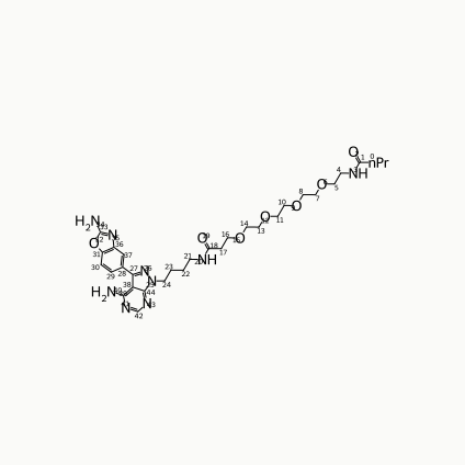 CCCC(=O)NCCOCCOCCOCCOCCC(=O)NCCCCn1nc(-c2ccc3oc(N)nc3c2)c2c(N)ncnc21